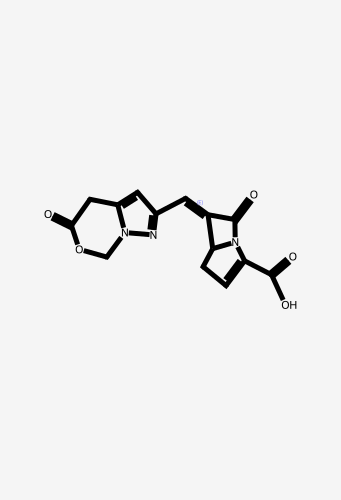 O=C1Cc2cc(/C=C3/C(=O)N4C(C(=O)O)=CCC34)nn2CO1